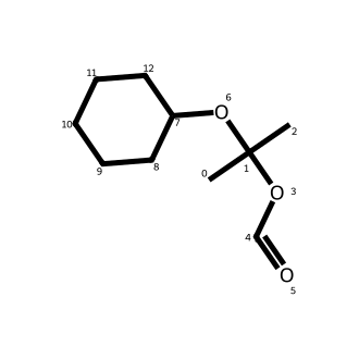 CC(C)(O[C]=O)OC1CCCCC1